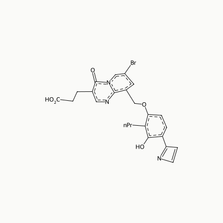 CCCc1c(OCc2cc(Br)cn3c(=O)c(CCC(=O)O)cnc23)ccc(C2=NC=C2)c1O